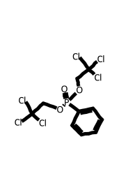 O=P(OCC(Cl)(Cl)Cl)(OCC(Cl)(Cl)Cl)c1ccccc1